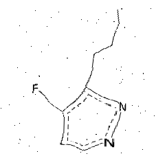 [CH2]CCc1nnccc1F